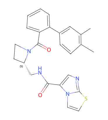 Cc1ccc(-c2ccccc2C(=O)N2CC[C@H]2CNC(=O)c2cnc3sccn23)cc1C